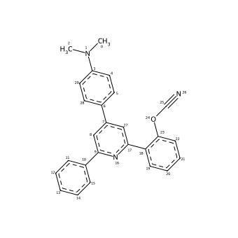 CN(C)c1ccc(-c2cc(-c3ccccc3)nc(-c3ccccc3OC#N)c2)cc1